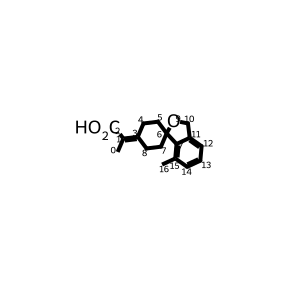 CC(C(=O)O)=C1CCC2(CC1)OCc1cccc(C)c12